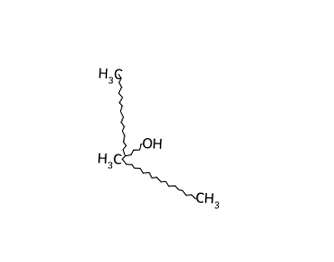 CCCCCCCCCCCCCCCCCCC(C)C(CCCCO)CCCCCCCCCCCCCCCCC